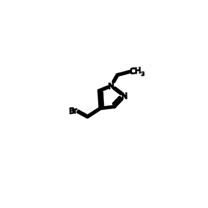 CCn1cc(CBr)cn1